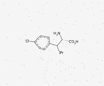 CC(C)C(c1ccc(Cl)cc1)[C@H](N)C(=O)O